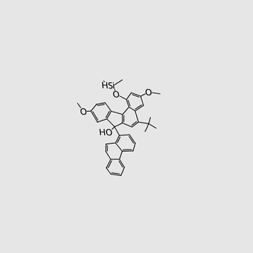 COc1ccc2c(c1)C(O)(c1cccc3c1ccc1ccccc13)c1cc(C(C)(C)C)c3cc(OC)cc(O[SiH](C)C)c3c1-2